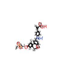 CCS(=O)(=O)CCCOc1cc(C)c2c(c1)CCOc1ccc(CNc3ccc(C4CC4C(=O)O)cc3)cc1-2